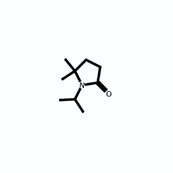 CC(C)N1C(=O)CCC1(C)C